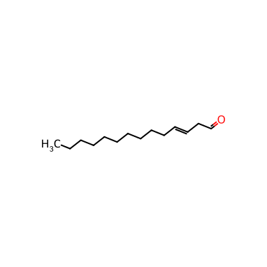 CCCCCCCCCC/C=C/CC=O